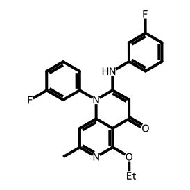 CCOc1nc(C)cc2c1c(=O)cc(Nc1cccc(F)c1)n2-c1cccc(F)c1